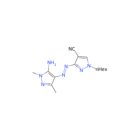 CCCCCCn1cc(C#N)c(N=Nc2c(C)nn(C)c2N)n1